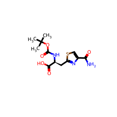 CC(C)(C)OC(=O)N[C@@H](Cc1nc(C(N)=O)cs1)C(=O)O